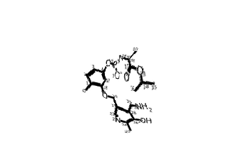 Cc1ccc(O[P+]([O-])=N[C@@H](C)C(=O)OC(C)C)cc1OCc1cnc(C)c(O)c1CN